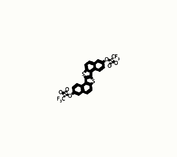 O=S(=O)(Oc1ccc2c(ccc3sc4c(sc5ccc6cc(OS(=O)(=O)C(F)(F)F)ccc6c54)c32)c1)C(F)(F)F